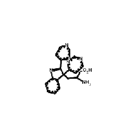 NC(CC1(c2ccncn2)C(c2ccncn2)=Nc2ccccc21)C(=O)O